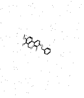 COc1ccc2c(c1F)COc1c-2ccc(OCc2ccccc2)c1F